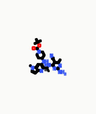 Cc1nc(N)nc(N[C@@H](C)c2nc3ccn(C)c3cc2NC2CCN(C(=O)OC(C)(C)C)CC2)c1C#N